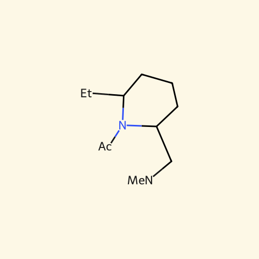 CCC1CCCC(CNC)N1C(C)=O